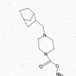 CC(C)(C)OC(=O)N1CCN(CC2CC3CCC2C3)CC1